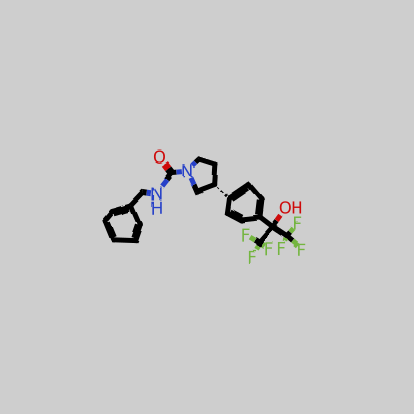 O=C(NCc1ccccc1)N1CC[C@H](c2ccc(C(O)(C(F)(F)F)C(F)(F)F)cc2)C1